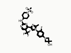 Cc1nc(-c2nc(NC3CCN(S(C)(=O)=O)CC3)ncc2C(F)(F)F)cn1-c1ccc(N2CC(C)(O)C2)cc1F